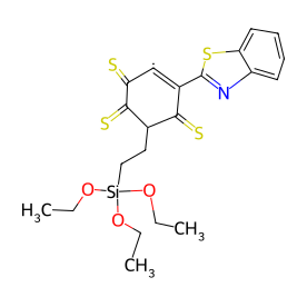 CCO[Si](CCC1C(=S)C(=S)[C]=C(c2nc3ccccc3s2)C1=S)(OCC)OCC